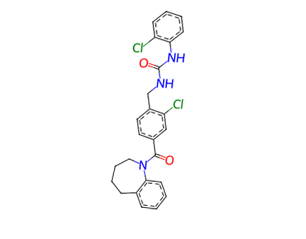 O=C(NCc1ccc(C(=O)N2CCCCc3ccccc32)cc1Cl)Nc1ccccc1Cl